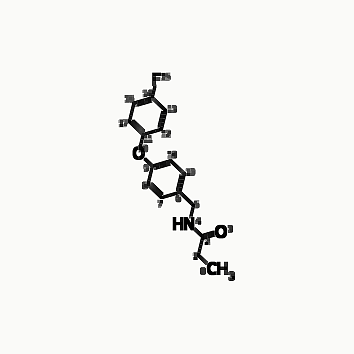 CCC(=O)NCc1ccc(Oc2ccc(F)cc2)cc1